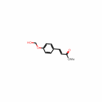 COC(=O)C=Cc1ccc(OCO)cc1